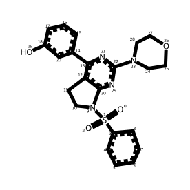 O=S(=O)(c1ccccc1)N1CCc2c(-c3cccc(O)c3)nc(N3CCOCC3)nc21